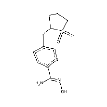 NC(=NO)c1ccc(CC2CCCS2(=O)=O)cn1